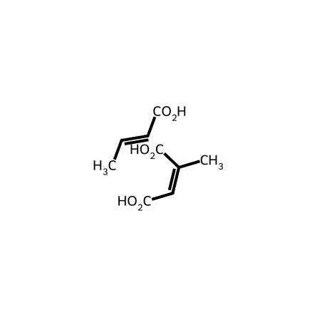 C/C(=C/C(=O)O)C(=O)O.CC=CC(=O)O